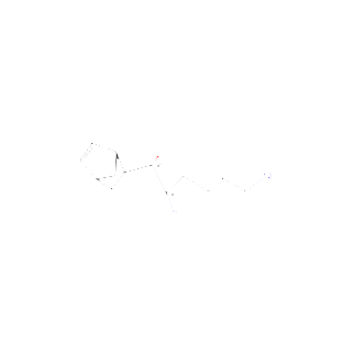 NCCCC[C@](N)(C(=O)O)[C@H](O)C1CC2C=CC1C2